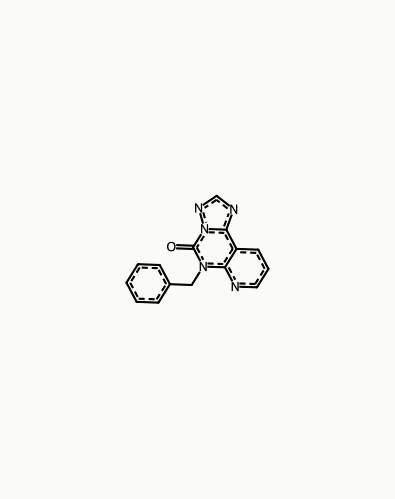 O=c1n(Cc2ccccc2)c2ncccc2c2ncnn12